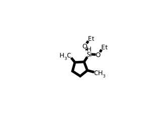 CCO[SiH](OCC)C1C(C)CCC1C